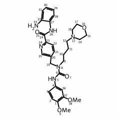 COc1ccc(NC(=O)N(CCCCN2CCOCC2)Cc2ccc(C(=O)Nc3ccccc3N)nc2)cc1OC